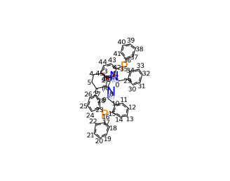 C(=N\[C@@H]1CCCC[C@H]1/N=C/c1ccccc1P(c1ccccc1)c1ccccc1)/c1ccccc1P(c1ccccc1)c1ccccc1